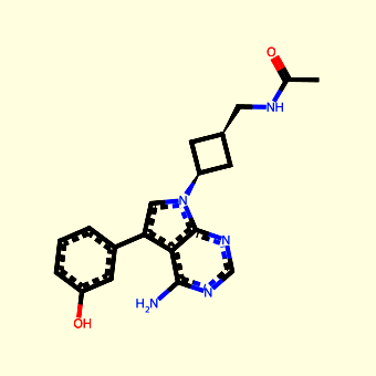 CC(=O)NC[C@H]1C[C@@H](n2cc(-c3cccc(O)c3)c3c(N)ncnc32)C1